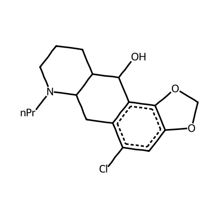 CCCN1CCCC2C(O)c3c(c(Cl)cc4c3OCO4)CC21